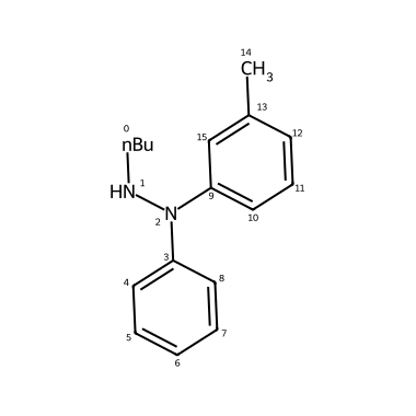 CCCCNN(c1ccccc1)c1cccc(C)c1